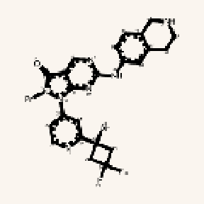 CC(C)n1c(=O)c2cnc(Nc3ccc4c(c3)CCNC4)nc2n1-c1ccnc(C2(O)CC(F)(F)C2)c1